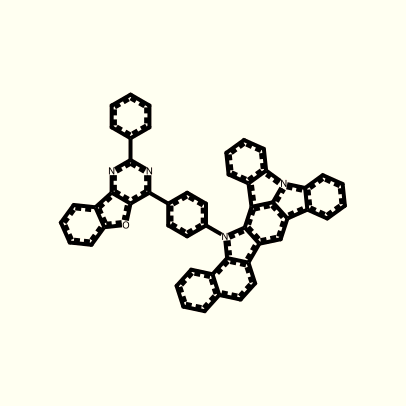 c1ccc(-c2nc(-c3ccc(-n4c5c6ccccc6ccc5c5cc6c7ccccc7n7c8ccccc8c(c54)c67)cc3)c3oc4ccccc4c3n2)cc1